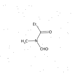 CCC(=O)N(C)[C]=O